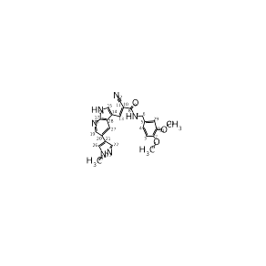 COc1ccc(CNC(=O)/C(C#N)=C/c2c[nH]c3ncc(-c4cnn(C)c4)cc23)cc1OC